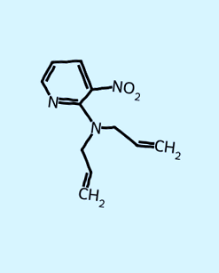 C=CCN(CC=C)c1ncccc1[N+](=O)[O-]